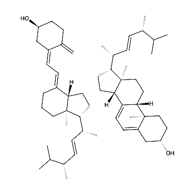 C=C1CC[C@H](O)C/C1=C/C=C1\CCC[C@]2(C)[C@@H]([C@H](C)/C=C/[C@H](C)C(C)C)CC[C@@H]12.CC(C)[C@@H](C)/C=C/[C@@H](C)[C@H]1CC[C@H]2C3=CC=C4C[C@@H](O)CC[C@]4(C)[C@H]3CC[C@]12C